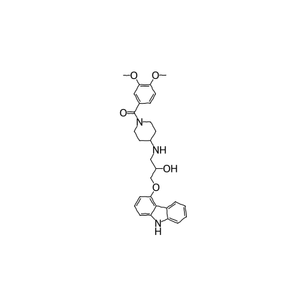 COc1ccc(C(=O)N2CCC(NCC(O)COc3cccc4[nH]c5ccccc5c34)CC2)cc1OC